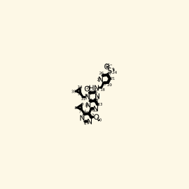 COc1ncnc(C2CC2)c1-c1ncc2nc(NCc3ccc([S+](C)[O-])cn3)c(=O)n(CC3CC3)c2n1